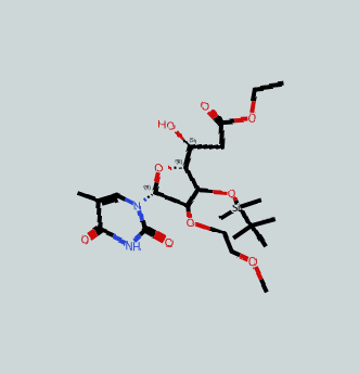 CCOC(=O)C[C@H](O)[C@H]1O[C@@H](n2cc(C)c(=O)[nH]c2=O)C(OCCOC)C1O[Si](C)(C)C(C)(C)C